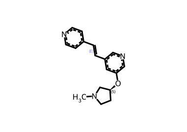 CN1CC[C@H](Oc2cncc(/C=C/c3ccncc3)c2)C1